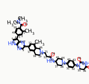 Cc1cc(-c2c[nH]c3ncc(-c4cc(C)c5c(c4)CCN(CCC(=O)NC4CCN(c6ccc(N7CCC(=O)NC7=O)cc6)CC4)C5)nc23)ccc1C(=O)N(C)C